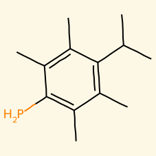 Cc1c(C)c(C(C)C)c(C)c(C)c1P